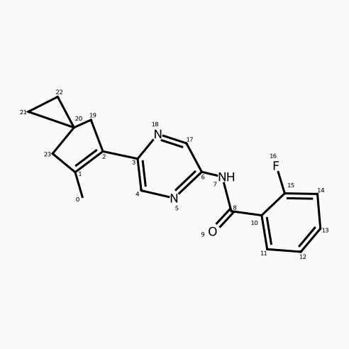 CC1=C(c2cnc(NC(=O)c3ccccc3F)cn2)CC2(CC2)C1